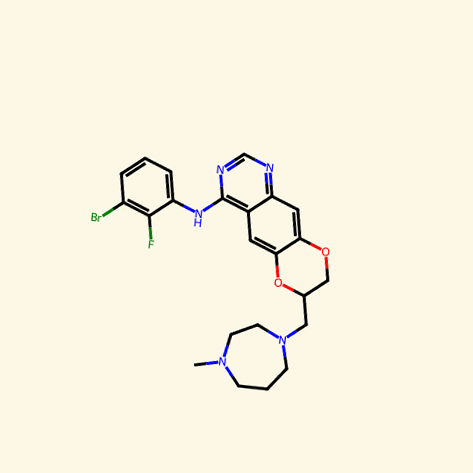 CN1CCCN(CC2COc3cc4ncnc(Nc5cccc(Br)c5F)c4cc3O2)CC1